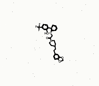 O=C(COc1ccccc1-c1ccc(C(F)(F)F)cc1O)N1CCC(CCc2ccc3c(c2)OCO3)CC1